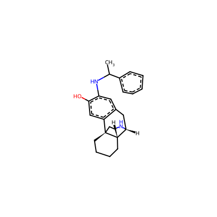 CC(Nc1cc2c(cc1O)[C@@]13CCCC[C@H]1[C@@H](C2)NCC3)c1ccccc1